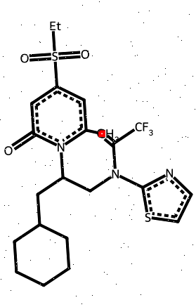 CCS(=O)(=O)c1cc(C)n(C(CC2CCCCC2)CN(C(=O)C(F)(F)F)c2nccs2)c(=O)c1